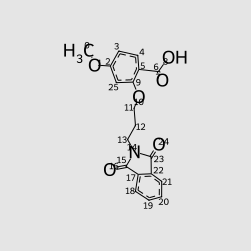 COc1ccc(C(=O)O)c(OCCCN2C(=O)c3ccccc3C2=O)c1